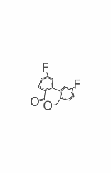 O=C1OCc2ccc(F)cc2-c2cc(F)ccc21